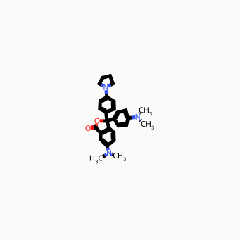 CN(C)c1ccc(C2(c3ccc(N4CCCC4)cc3)OC(=O)c3cc(N(C)C)ccc32)cc1